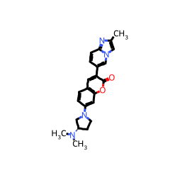 Cc1cn2cc(-c3cc4ccc(N5CC[C@H](N(C)C)C5)cc4oc3=O)ccc2n1